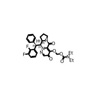 CCN(CC)C(=O)OCOc1c2n(ncc1=O)[C@@H]([C@H](c1ccccc1)c1cccc(F)c1F)[C@H]1CCCN1C2=O